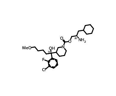 COCCCC[C@@](O)(c1cccc(Cl)c1F)C1CCCN(C(=O)OC[C@H](N)CC2CCCCC2)C1